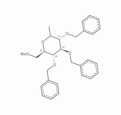 COC[C@H]1OC(C)[C@H](OCc2ccccc2)[C@@H](OCc2ccccc2)[C@@H]1OCc1ccccc1